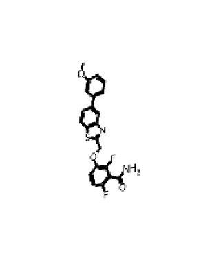 COc1cccc(-c2ccc3sc(COc4ccc(F)c(C(N)=O)c4F)nc3c2)c1